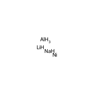 [AlH3].[LiH].[NaH].[Ni]